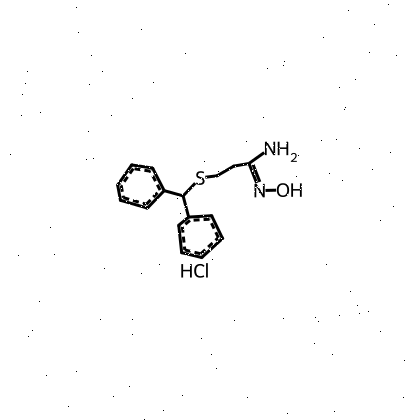 Cl.NC(CCSC(c1ccccc1)c1ccccc1)=NO